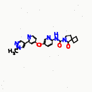 Cn1cc(-c2cc(Oc3ccc(NC(=O)N4CCC5(CCC5)C4=O)nc3)ccn2)cn1